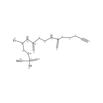 C#CCCCC(=O)NCCC(=O)NC(CC)COP(=O)(S)OC